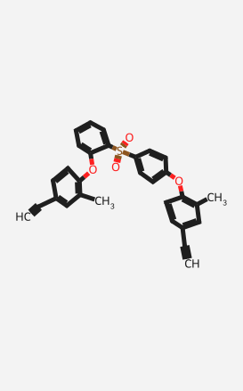 C#Cc1ccc(Oc2ccc(S(=O)(=O)c3ccccc3Oc3ccc(C#C)cc3C)cc2)c(C)c1